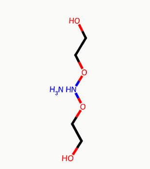 N.OCCONOCCO